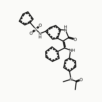 CC(=O)N(C)c1ccc(N/C(=C2\C(=O)Nc3ccc(NS(=O)(=O)c4ccccc4)cc32)c2ccccc2)cc1